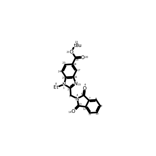 CCn1c(CN2C(=O)c3ccccc3C2=O)nc2cc(C(=O)OC(C)(C)C)ccc21